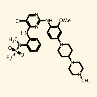 COc1cc(N2CCC(N3CCN(C)CC3)CC2)ccc1Nc1ncc(Cl)c(Nc2ccccc2N(C)S(=O)(=O)C(F)(F)F)n1